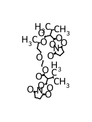 CC(CCOCCOC(=O)C(C(=O)ON1C(=O)CCC1=O)C(C)C)OC(=O)C(C(=O)ON1C(=O)CCC1=O)C(C)C